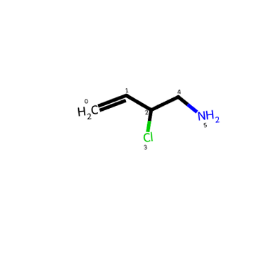 C=CC(Cl)CN